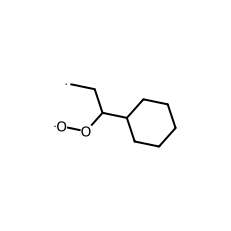 [CH2]CC(O[O])C1CCCCC1